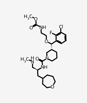 CNC[C@H](CC1CCCOCC1)NC(=O)N1CCC[C@@H](C(OCCNC(=O)OC)c2cccc(Cl)c2F)C1